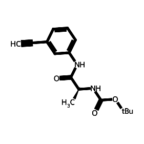 C#Cc1cccc(NC(=O)[C@H](C)NC(=O)OC(C)(C)C)c1